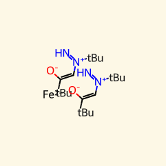 CC(C)(C)C([O-])=C[N+](=N)C(C)(C)C.CC(C)(C)C([O-])=C[N+](=N)C(C)(C)C.[Fe+2]